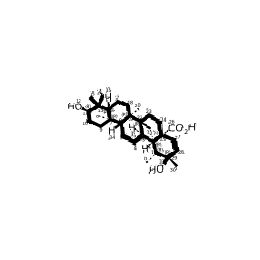 C[C@@H]1[C@H]2[C@H]3CC[C@@H]4[C@@]5(C)CC[C@@H](O)C(C)(C)[C@@H]5CC[C@@]4(C)[C@]3(C)CC[C@@]2(C(=O)O)C=C[C@]1(C)O